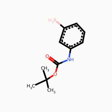 Bc1cccc(NC(=O)OC(C)(C)C)c1